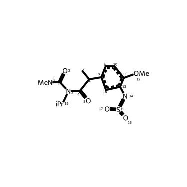 CNC(=O)N(C(=O)C(C)c1ccc(OC)c(N=S(=O)=O)c1)C(C)C